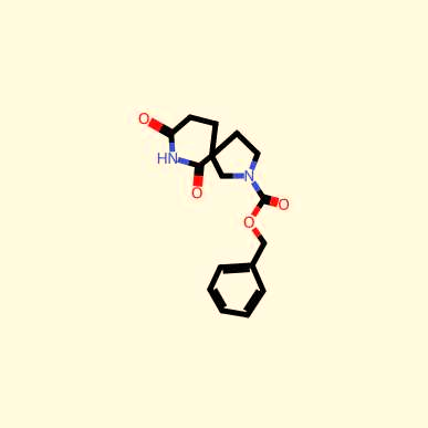 O=C1CCC2(CCN(C(=O)OCc3ccccc3)C2)C(=O)N1